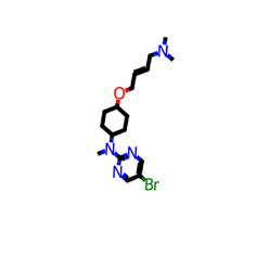 CN(C)CC=CCOC1CCC(N(C)c2ncc(Br)cn2)CC1